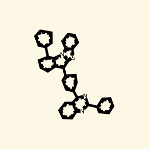 c1ccc(-c2nc(-c3ccc(-c4c5cccc(-c6ccccc6)c5n5c4sc4ccccc45)cc3)c3ccccc3n2)cc1